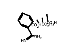 CC(=O)O.CC(=O)O.CC(=O)O.N=C(N)c1ccccc1